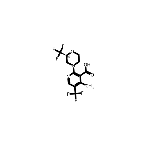 Cc1c(C(F)(F)F)cnc(N2CCO[C@H](C(F)(F)F)C2)c1C(=O)O